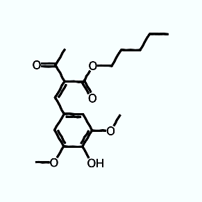 CCCCCOC(=O)C(=Cc1cc(OC)c(O)c(OC)c1)C(C)=O